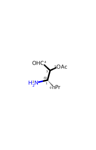 CCC[C@H](N)C(C=O)OC(C)=O